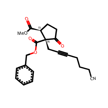 COC(=O)[C@H]1CCC(=O)[C@]1(CC#CCCCC#N)C(=O)OCc1ccccc1